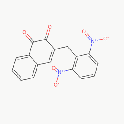 O=C1C(=O)c2ccccc2C=C1Cc1c([N+](=O)[O-])cccc1[N+](=O)[O-]